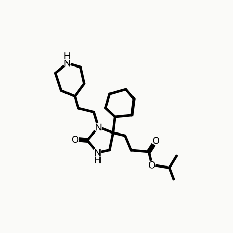 CC(C)OC(=O)CCC1(C2CCCCC2)CNC(=O)N1CCC1CCNCC1